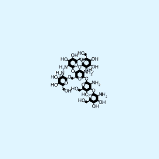 N[C@H]1[C@H](OC[C@H]2O[C@@H](O[C@@H]3O[C@H](CO)[C@@H](O)[C@H](O[C@@H]4O[C@H](CO)[C@@H](O)[C@H](O)[C@H]4N)[C@H]3N)[C@H](N)[C@@H](O[C@@H]3O[C@H](CO)[C@@H](O)[C@H](O)[C@H]3N)[C@@H]2O[C@@H]2O[C@H](CO)[C@@H](O)[C@H](O)[C@H]2N)O[C@H](CO)[C@@H](O)[C@@H]1O